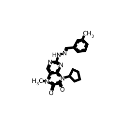 Cc1cccc(C=NNc2ncc3c(n2)n(C2CCCC2)c(=O)c(=O)n3C)c1